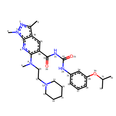 Cc1nn(C)c2nc(N(C)CCN3CCCCC3)c(C(=O)NC(=O)Nc3cccc(OC(C)C)c3)cc12